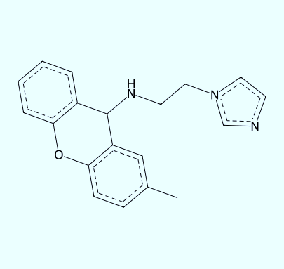 Cc1ccc2c(c1)C(NCCn1ccnc1)c1ccccc1O2